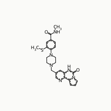 CNC(=O)c1ccc(N2CCN(Cc3cnc4c(c3)[nH]c(=O)n3cccc43)CC2)c(SC)c1